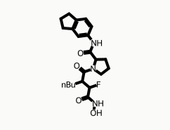 CCCCC(C(=O)N1CCCC1C(=O)Nc1ccc2c(c1)CCC2)C(F)C(=O)NO